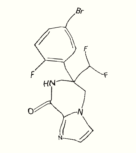 O=C1NC(c2cc(Br)ccc2F)(C(F)F)Cn2ccnc21